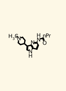 CCCC(=O)Nc1ccc2[nH]cc(C3CCN(C)CC3)c2n1